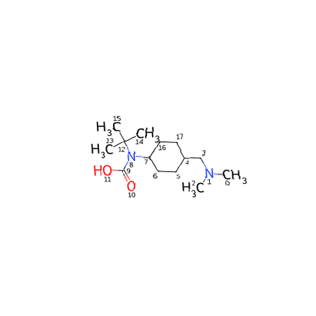 CN(C)CC1CCC(N(C(=O)O)C(C)(C)C)CC1